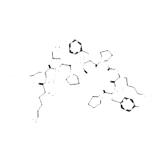 CSCC[C@H](NC(=O)[C@H](CCC(=O)O)NC(=O)[C@@H](N)CCCCN)C(=O)N1CCC[C@H]1C(=O)N[C@@H](Cc1ccccc1)C(=O)N1CCC[C@H]1C(=O)N[C@@H](CCCCN)C(=O)N[C@@H](Cc1ccc(O)cc1)C(=O)N1CCC[C@H]1C(=O)O